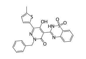 Cc1ccc(-c2nn(Cc3ccccc3)c(=O)c(C3=Nc4ccccc4S(=O)(=O)N3)c2O)s1